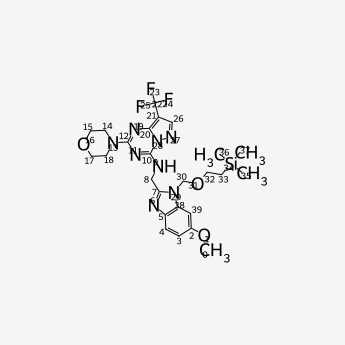 COc1ccc2nc(CNc3nc(N4CCOCC4)nc4c(C(F)(F)F)cnn34)n(COCC[Si](C)(C)C)c2c1